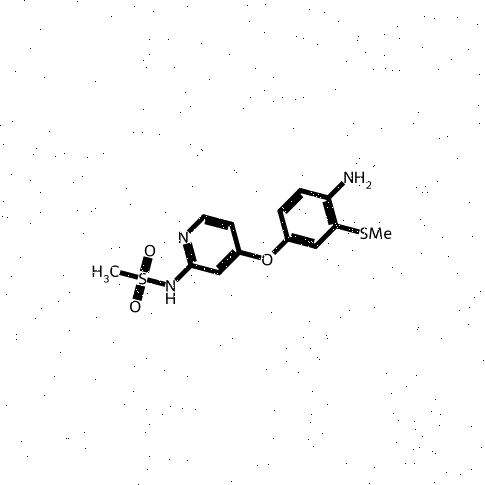 CSc1cc(Oc2ccnc(NS(C)(=O)=O)c2)ccc1N